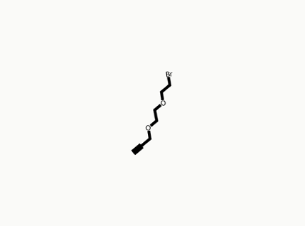 C#CCOCCOCCBr